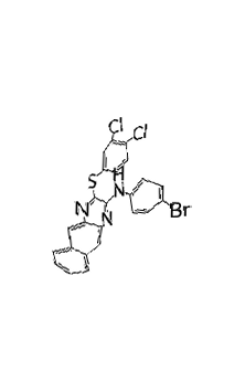 Clc1ccc(Sc2nc3cc4ccccc4cc3nc2Nc2ccc(Br)cc2)cc1Cl